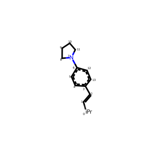 CC(C)/C=C/c1ccc(N2CCCC2)cc1